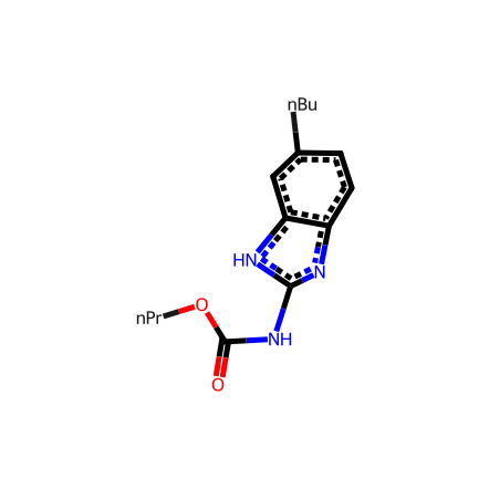 CCCCc1ccc2nc(NC(=O)OCCC)[nH]c2c1